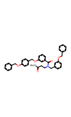 COC(=O)CCN(Cc1cccc(OCc2ccccc2)c1)C(=O)c1cccc(OCc2ccc(OCc3ccccc3)cc2)c1